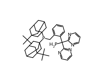 CC(C)(C)C12CC3CC(CC(P(Cc4ccccc4C(P)(c4ncccn4)c4ncccn4)C45CC6CC(C4)CC(C(C)(C)C)(C6)C5)(C3)C1)C2